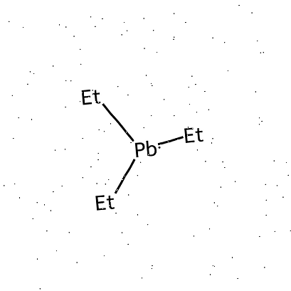 C[CH2][Pb]([CH2]C)[CH2]C